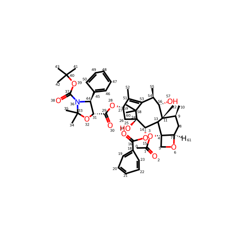 CC(=O)O[C@@]12CO[C@@H]1C[C@H](C)[C@]1(C)C2[C@H](OC(=O)c2ccccc2)[C@]2(O)C[C@H](OC(=O)[C@@H]3OC(C)(C)N(C(=O)OC(C)(C)C)[C@H]3c3ccccc3)C(C)=C([C@@H](C)[C@@H]1O)C2(C)C